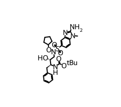 Cn1c(N)nc2cc(S(=O)(=O)N(C[C@@H](O)[C@H](Cc3ccccc3)NC(=O)OC(C)(C)C)OC3CCCC3)ccc21